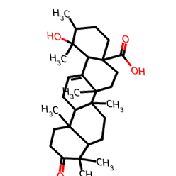 CC1CCC2(C(=O)O)CCC3(C)C(=CCC4C5(C)CCC(=O)C(C)(C)C5CCC43C)C2C1(C)O